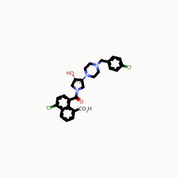 O=C(O)c1cccc2c(Cl)ccc(C(=O)N3C[C@H](O)[C@@H](N4CCN(Cc5ccc(Cl)cc5)CC4)C3)c12